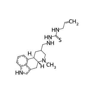 C=CCNC(=S)NNCC1C[C@@H]2c3cccc4[nH]cc(c34)C[C@H]2N(C)C1